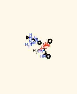 CON[C@@H](Cc1c[nH]c2ccccc12)C(=O)OP(=O)(OC[C@@H]1C=C[C@H](n2cnc3c(NC4CC4)nc(N)nc32)C1)Oc1ccccc1